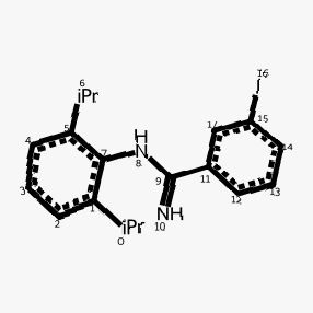 CC(C)c1cccc(C(C)C)c1NC(=N)c1cccc(I)c1